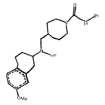 CCCN(CC1CCN(C(=O)NC(C)C)CC1)C1CCc2ccc(OC)cc2C1